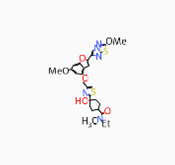 CCN(C)C(=O)C1CCC(O)(c2nc(COc3cc(OC)cc4oc(-c5cn6nc(OC)sc6n5)cc34)cs2)CC1